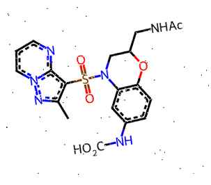 CC(=O)NCC1CN(S(=O)(=O)c2c(C)nn3cccnc23)c2cc(NC(=O)O)ccc2O1